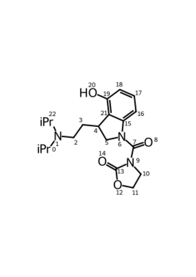 CC(C)N(CCC1CN(C(=O)N2CCOC2=O)c2cccc(O)c21)C(C)C